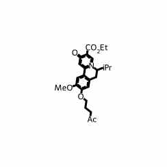 CCOC(=O)c1cn2c(cc1=O)-c1cc(OC)c(OCCCC(C)=O)cc1CC2C(C)C